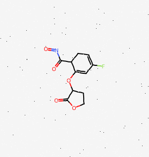 O=NC(=O)C1CC=C(F)C=C1OC1CCOC1=O